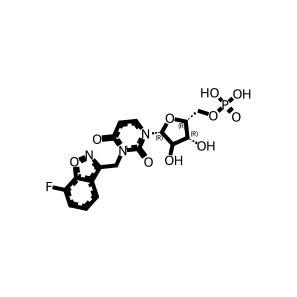 O=c1ccn([C@@H]2O[C@H](COP(=O)(O)O)[C@H](O)C2O)c(=O)n1Cc1noc2c(F)cccc12